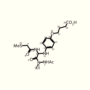 CCN(NC(C)=O)C(=O)C(NC(=O)CSC)Nc1ccc(OCCCC(=O)O)cc1